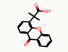 CC(C)(C(=O)O)c1cccc2c(=O)c3ccccc3oc12